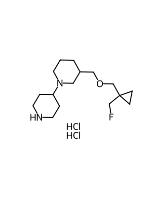 Cl.Cl.FCC1(COCC2CCCN(C3CCNCC3)C2)CC1